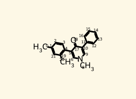 Cc1ccc(-c2cn(C)cc(-c3ccccc3)c2=O)c(C)c1